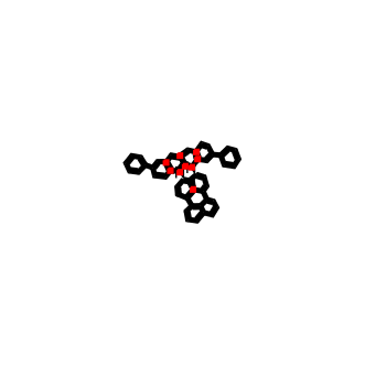 c1ccc(-c2ccc(N(c3ccccc3)c3ccc(-c4cccc5cccc(-c6ccc(N(c7ccccc7)c7cccc(-c8ccccc8)c7)cc6)c45)cc3)cc2)cc1